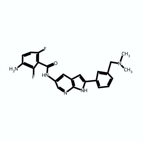 CN(C)Cc1cccc(-c2cc3cc(NC(=O)c4c(F)ccc(N)c4F)cnc3[nH]2)c1